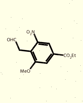 CCOC(=O)c1cc(OC)c(CC=O)c([N+](=O)[O-])c1